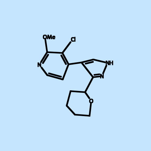 COc1nccc(-c2c[nH]nc2C2CCCCO2)c1Cl